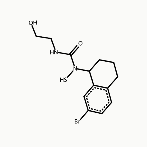 O=C(NCCO)N(S)C1CCCc2ccc(Br)cc21